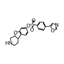 O=S(=O)(Oc1ccc2c(c1)OC1CNCCC21)c1ccc(-c2cnco2)cc1